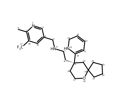 Cc1ncc(CNCC[C@@]2(C3=CC=CCN3)CCOC3(CCCC3)C2)cc1C(F)(F)F